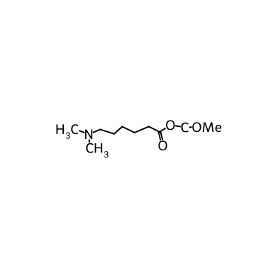 COCOC(=O)CCCCCN(C)C